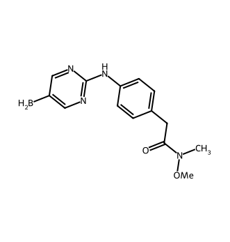 Bc1cnc(Nc2ccc(CC(=O)N(C)OC)cc2)nc1